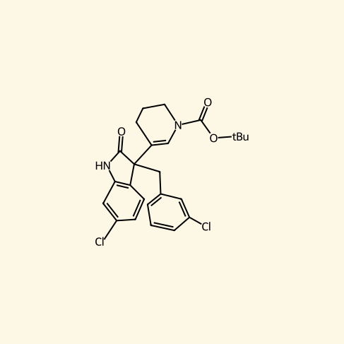 CC(C)(C)OC(=O)N1C=C(C2(Cc3cccc(Cl)c3)C(=O)Nc3cc(Cl)ccc32)CCC1